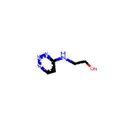 OCCNc1ccnnn1